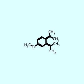 COc1ccc(=C(C)C)c(=C(C)C)c1